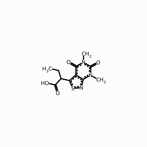 CCC(C(=O)O)c1snc2c1c(=O)n(C)c(=O)n2C